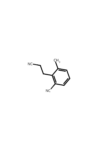 Cc1cccc(C#N)c1CCC#N